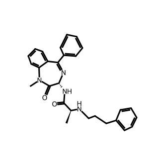 C[C@H](NCCCc1ccccc1)C(=O)N[C@H]1N=C(c2ccccc2)c2ccccc2N(C)C1=O